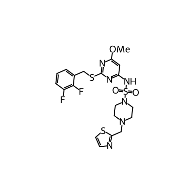 COc1cc(NS(=O)(=O)N2CCN(Cc3nccs3)CC2)nc(SCc2cccc(F)c2F)n1